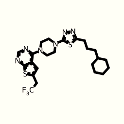 FC(F)(F)Cc1cc2c(N3CCN(c4nnc(CCCC5CCCCC5)s4)CC3)ncnc2s1